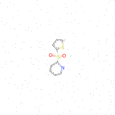 O=S(=O)(c1ccccn1)c1cc[c]s1